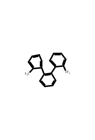 FC(F)(F)c1ccccc1-c1[c]cccc1-c1ccccc1C(F)(F)F